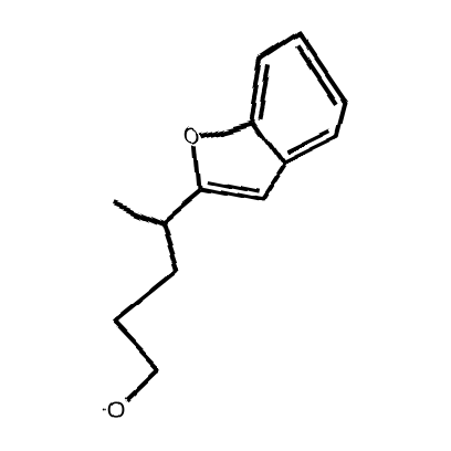 CC(CCC[O])c1cc2ccccc2o1